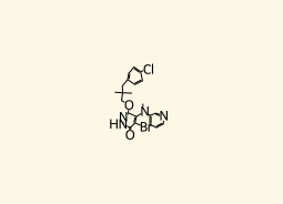 CN(c1cccnc1)c1c(OCC(C)(C)Cc2ccc(Cl)cc2)n[nH]c(=O)c1Br